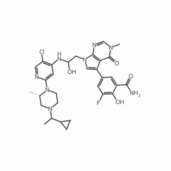 CC(C1CC1)N1CCN(c2cc(NC(O)Cn3cc(-c4cc(F)c(O)c(C(N)=O)c4)c4c(=O)n(C)cnc43)c(Cl)cn2)[C@@H](C)C1